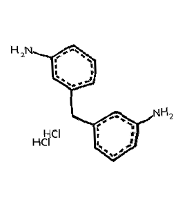 Cl.Cl.Nc1cccc(Cc2cccc(N)c2)c1